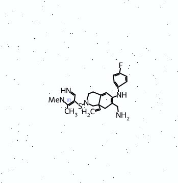 C=CC12CC(CN)=C(Nc3ccc(F)cc3)C=C1CCN(S/C(C=N)=C(\C)NC)C2